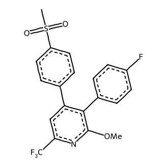 COc1nc(C(F)(F)F)cc(-c2ccc(S(C)(=O)=O)cc2)c1-c1ccc(F)cc1